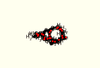 CC(C)[C@@H]1NC(=O)[C@H](Cc2c[nH]c3ccccc23)NC(=O)[C@@H]2CSCCC(=O)N3CCN(CCN(CC3)C(=O)CCSC[C@H](NC(=O)[C@H](C)NC(C)(C)C(=O)CN(C)C(C)(C)C(=O)CCN)C(=O)N[C@@H]([C@@H](C)O)C(=O)N[C@@H](CCC(=O)O)C(=O)N2)C(=O)CCSC[C@@H](C(N)=O)NC(=O)[C@@H]2CCCN2C(=O)[C@H](C(C)C)NC(=O)[C@H](Cc2c[nH]c3ccccc23)NC(=O)CNC(=O)[C@H](CC(=O)O)NC1=O